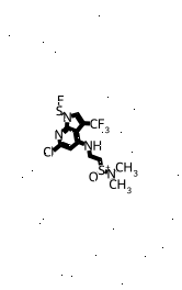 CN(C)[S+]([O-])CCNc1cc(Cl)nc2c1c(C(F)(F)F)cn2SF